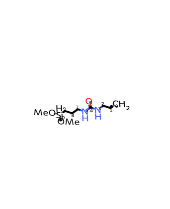 C=CCNC(=O)NCCC[SiH](OC)OC